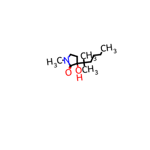 CCCCC(C)(C)C1(O)CCN(C)C1=O